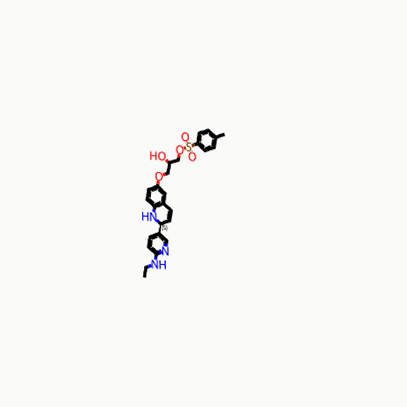 CCNc1ccc([C@@H]2C=Cc3cc(OCC(O)COS(=O)(=O)c4ccc(C)cc4)ccc3N2)cn1